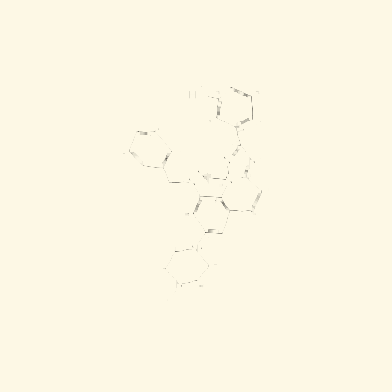 CN1CCN(c2cc3c(c(NCc4ccccc4)c2)[N+]2(C#N)N=C(c4cccc(O)c4)N=C2C=C3)CC1